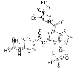 CCOP(=O)(CNC(=O)c1cc(OC(=O)c2ccc(NC(=N)N)cc2)cc2c1CCO2)OCC.O=C(O)C(F)(F)F